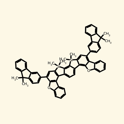 CC1(C)c2ccccc2-c2cc(-c3cc4c(c5c3oc3ccccc35)-c3ccc5c(c3[Si]4(C)C)[Si](C)(C)c3cc(-c4ccc6c(c4)-c4ccccc4C6(C)C)c4c(oc6ccccc64)c3-5)ccc21